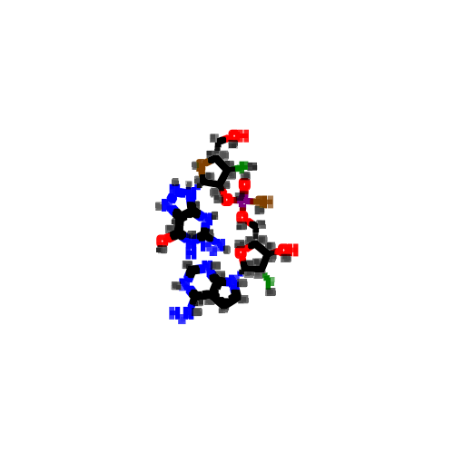 Nc1nc2c(nnn2[C@@H]2S[C@H](CO)[C@@H](F)[C@H]2OP(=O)(S)OC[C@H]2O[C@@H](n3ccc4c(N)ncnc43)[C@@H](F)[C@@H]2O)c(=O)[nH]1